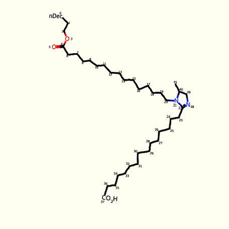 CCCCCCCCCCCCOC(=O)CCCCCCCCCCCCCCCN1C(CCCCCCCCCCCCCCC(=O)O)=NCC1C